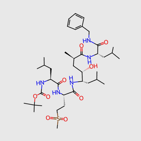 CC(C)C[C@H](NC(=O)OC(C)(C)C)C(=O)N[C@@H](CCS(C)(=O)=O)C(=O)N[C@@H](CC(C)C)[C@@H](O)C[C@@H](C)C(=O)N[C@@H](CC(C)C)C(=O)NCc1ccccc1